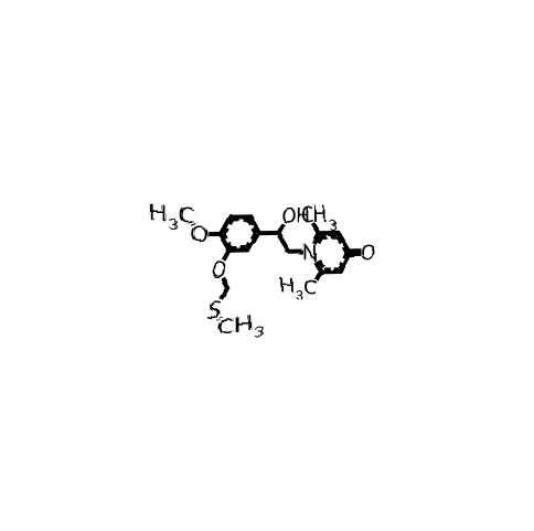 COc1ccc(C(O)Cn2c(C)cc(=O)cc2C)cc1OCSC